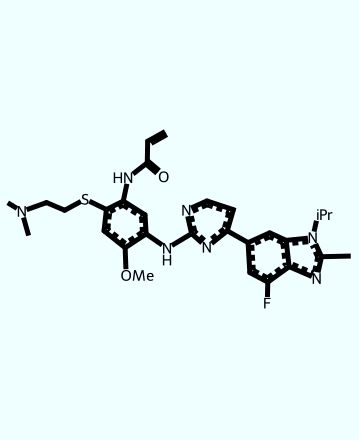 C=CC(=O)Nc1cc(Nc2nccc(-c3cc(F)c4nc(C)n(C(C)C)c4c3)n2)c(OC)cc1SCCN(C)C